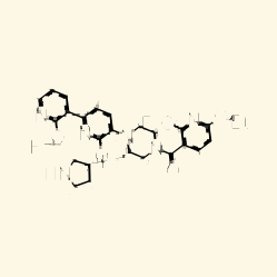 CCOc1ccc(C(=O)N2CCN(c3ccc(-c4cccnc4OCC)nc3O[C@H]3CCNC3)[C@H](CC)C2)c(C(F)(F)F)n1